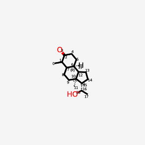 CC1C(=O)CC[C@@H]2C1CC[C@@]1(C)C2CC[C@@H]1C(C)O